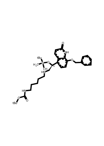 CC(C)(C)OC(=O)NCCCCCNC[C@@H](O[Si](C)(C)C(C)(C)C)c1ccc(OCc2ccccc2)c2[nH]c(=O)ccc12